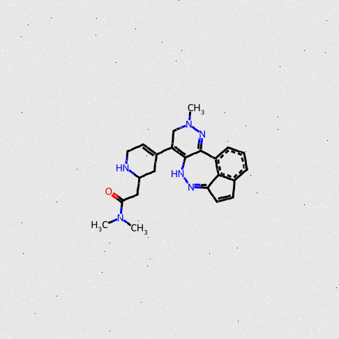 CN1CC(C2=CCNC(CC(=O)N(C)C)C2)=C2NN=C3C=Cc4cccc(c43)C2=N1